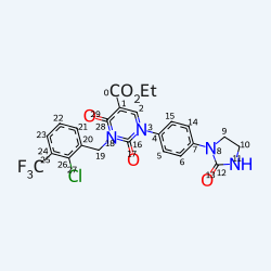 CCOC(=O)c1cn(-c2ccc(N3CCNC3=O)cc2)c(=O)n(Cc2cccc(C(F)(F)F)c2Cl)c1=O